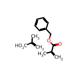 C=C(C)C(=O)O.C=C(C)C(=O)OCc1ccccc1